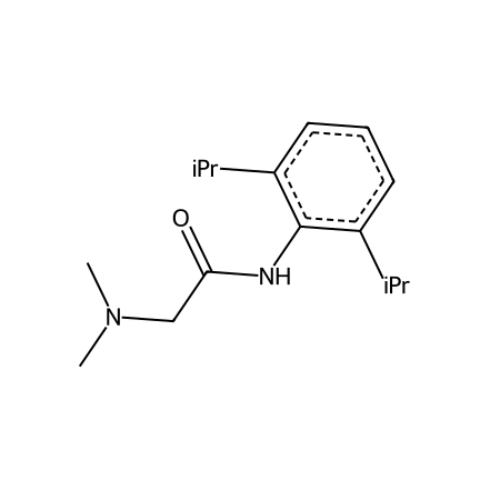 CC(C)c1cccc(C(C)C)c1NC(=O)CN(C)C